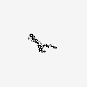 CCOC(=O)CN=C=C=CN=C=C=NC(=O)[C@@H](Cc1cc(C)c(O)c(C)c1)OC(=O)N1CCC(N2CCc3ccccc3NC2=O)CC1